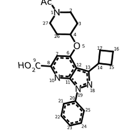 CC(=O)N1CCC(Oc2cc(C(=O)O)nc3c2c(C2CCC2)nn3-c2ccccc2)CC1